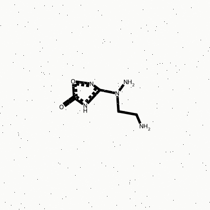 NCCN(N)c1noc(=O)[nH]1